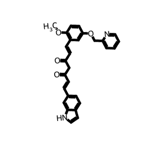 COc1ccc(OCc2ccccn2)cc1C=CC(=O)CC(=O)C=Cc1ccc2cc[nH]c2c1